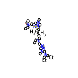 CCc1ccc2c(c1)c1cc(CC)ccc1n2-c1cccc(N(c2ccccc2)c2ccc(-c3ccc(-n4c5ccc6ccc(CC(C)(C)c7ccc(-c8cccc(N(C9=CC=C(c%10ccc(-n%11c%12ccc%13ccccc%13c%12c%12ccc%13ccccc%13c%12%11)cc%10)C(=N)/C9=N\S)c9ccccc9)c8)cc7)cc6c5c5ccc6ccccc6c54)cc3)c3nsnc23)c1